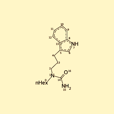 CCCCCCN(C[CH]Cc1c[nH]c2ccccc12)C(N)=O